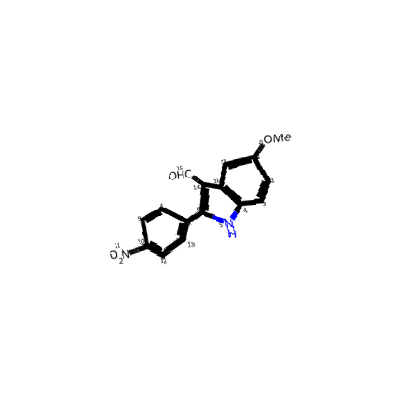 COc1ccc2[nH]c(-c3ccc([N+](=O)[O-])cc3)c(C=O)c2c1